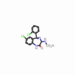 O=C(O)NC1N=C(c2ccccc2Cl)c2cc(Cl)ccc2NC1=O